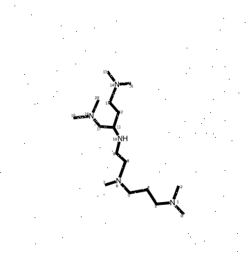 CN(C)CCCN(C)CCNC(CCN(C)C)CN(C)C